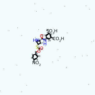 O=C(OCc1ccc([N+](=O)[O-])cc1)S[C@@H]1CN[C@H](C(=O)Nc2cc(C(=O)O)cc(S(=O)(=O)O)c2)C1